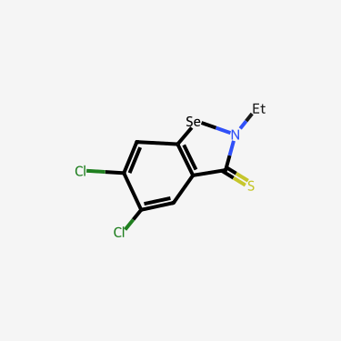 CCn1[se]c2cc(Cl)c(Cl)cc2c1=S